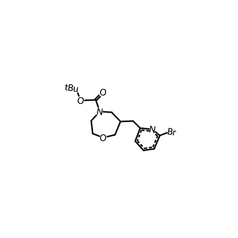 CC(C)(C)OC(=O)N1CCOCC(Cc2cccc(Br)n2)C1